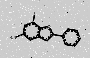 Nc1cc(I)c2oc(-c3ccccc3)cc2c1